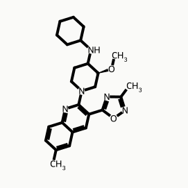 CO[C@H]1CN(c2nc3ccc(C)cc3cc2-c2nc(C)no2)CCC1NC1CCCCC1